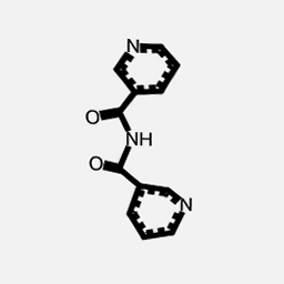 O=C(NC(=O)c1cccnc1)c1cccnc1